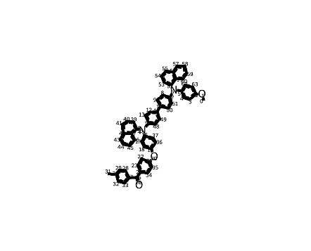 COc1ccc(N(c2ccc(-c3ccc(N(c4ccc(Oc5ccc(C(=O)c6ccc(C)cc6)cc5)cc4)c4cccc5ccccc45)cc3)cc2)c2cccc3ccccc23)cc1